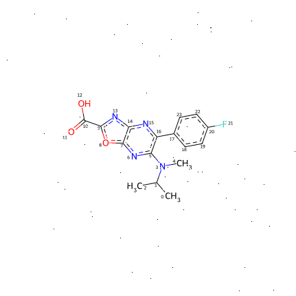 CC(C)N(C)c1nc2oc(C(=O)O)nc2nc1-c1ccc(F)cc1